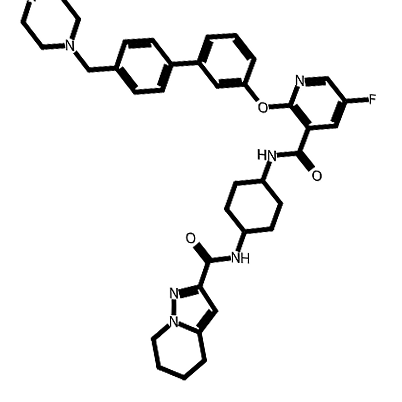 O=C(NC1CCC(NC(=O)c2cc(F)cnc2Oc2cccc(-c3ccc(CN4CCNCC4)cc3)c2)CC1)c1cc2n(n1)CCCC2